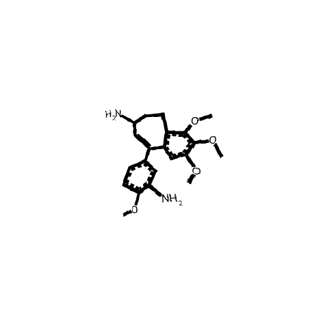 COc1ccc(C2=CC(N)CCc3c2cc(OC)c(OC)c3OC)cc1N